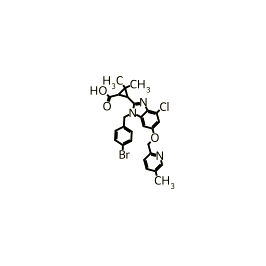 Cc1ccc(COc2cc(Cl)c3nc(C4C(C(=O)O)C4(C)C)n(Cc4ccc(Br)cc4)c3c2)nc1